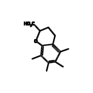 Cc1c(C)c(C)c2c(c1C)CCC(C(=O)O)O2